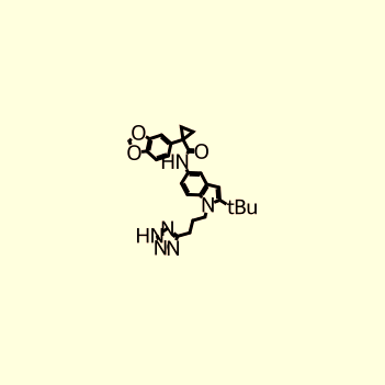 CC(C)(C)c1cc2cc(NC(=O)C3(c4ccc5c(c4)OCO5)CC3)ccc2n1CCCc1nn[nH]n1